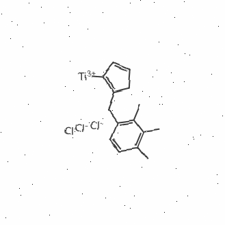 Cc1ccc(CC2=[C]([Ti+3])C=CC2)c(C)c1C.[Cl-].[Cl-].[Cl-]